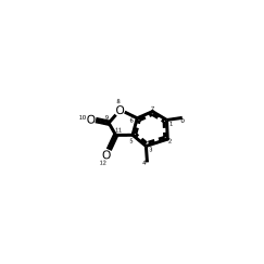 Cc1cc(C)c2c(c1)OC(=O)C2=O